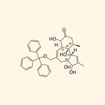 CC1=C[C@H]2[C@@]3(O)[C@H](C)CC(=O)C(O)[C@@H]3C=C(COC(c3ccccc3)(c3ccccc3)c3ccccc3)C[C@]2(O)C1O